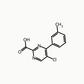 Cc1cccc(-c2nc(C(=O)O)ncc2Cl)c1